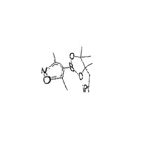 Cc1noc(C)c1B1OC(C)(C)C(C)(CC(C)C)O1